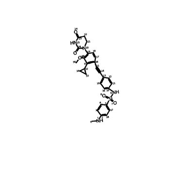 CNc1ccc(S(=O)(=O)Nc2ccc(C#Cc3ccc(N4CCC(=O)NC4=O)c(OC)c3C3CC3)cc2)cc1